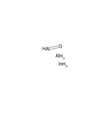 [AlH3].[InH3].[O]=[AlH]